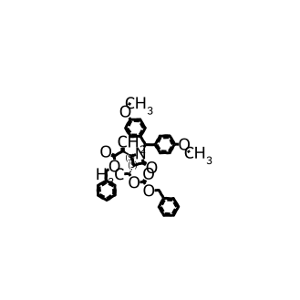 C=C(C(=O)OCc1ccccc1)[C@@H]1[C@@H](C(C)OC(=O)OCc2ccccc2)C(=O)N1C(c1ccc(OC)cc1)c1ccc(OC)cc1